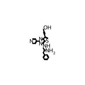 N[C@@H](CNc1nc(-c2ccncc2)nc2c(C#CCO)csc12)Cc1ccccc1